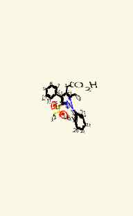 Cc1c(CC(=O)O)c(-c2ccccc2)c(S(C)(=O)=O)n1-c1ccccc1